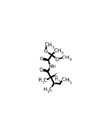 CCC(C)C(C)(C)C(=O)NC(=O)C(C)(OC)OC